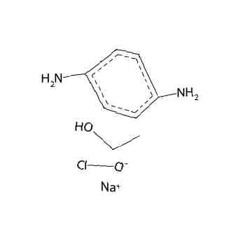 CCO.Nc1ccc(N)cc1.[Na+].[O-]Cl